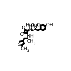 Cc1cc(C[C@H](C)Nc2c(NC[C@H](Cc3ccc(O)cc3)N(C)C)c(=O)c2=O)cs1